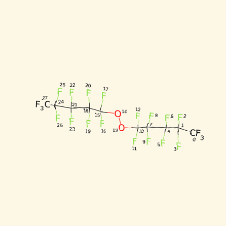 FC(F)(F)C(F)(F)C(F)(F)C(F)(F)C(F)(F)OOC(F)(F)C(F)(F)C(F)(F)C(F)(F)C(F)(F)F